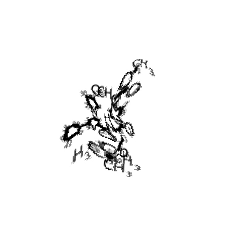 CCOC(=O)ON1CCN(C(=O)[C@H](CCC(=O)OC(C)(C)C)NC(=O)c2cc(N3CC[C@H](OC)C3)cc(-c3ccccc3)n2)CC1